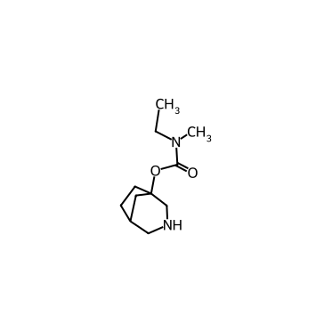 CCN(C)C(=O)OC12CCC(CNC1)C2